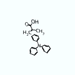 C=C(C)C(=O)O.c1ccc(N(c2ccccc2)c2ccccc2)cc1